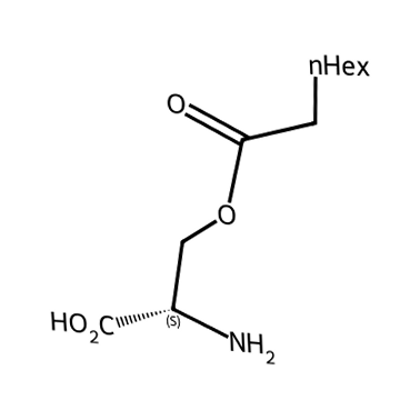 CCCCCCCC(=O)OC[C@H](N)C(=O)O